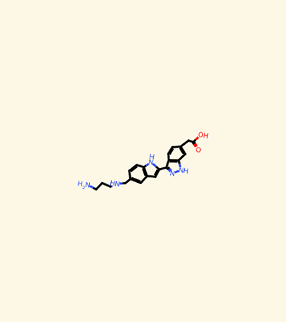 NCCCNCc1ccc2[nH]c(-c3n[nH]c4cc(CC(=O)O)ccc34)cc2c1